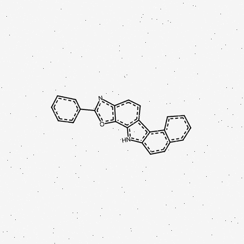 c1ccc(-c2nc3ccc4c([nH]c5ccc6ccccc6c54)c3o2)cc1